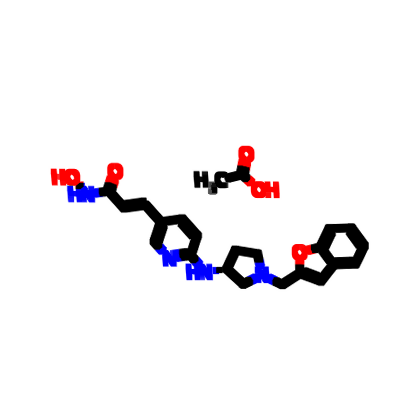 CC(=O)O.O=C(/C=C/c1ccc(N[C@@H]2CCN(Cc3cc4ccccc4o3)C2)nc1)NO